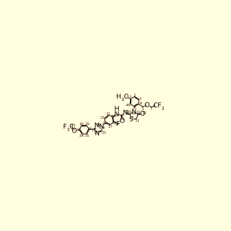 Cc1ccc(COCC(F)(F)F)c(N2C(=O)CSC2=NC(=O)Nc2ccc(-n3cnc(-c4ccc(OC(F)(F)F)cc4)n3)cc2F)c1